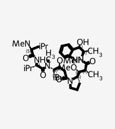 CC[C@H](C)[C@@H]([C@@H](CC(=O)N1CCC[C@H]1[C@H](OC)[C@@H](C)C(=O)N[C@H](C)[C@@H](O)c1ccccc1N)OC)N(C)C(=O)[C@@H](NC(=O)[C@@H](NC)C(C)C)C(C)C